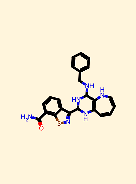 NC(=O)c1cccc2c(C3NC4=C(NC=CC=C4)C(NCc4ccccc4)N3)nsc12